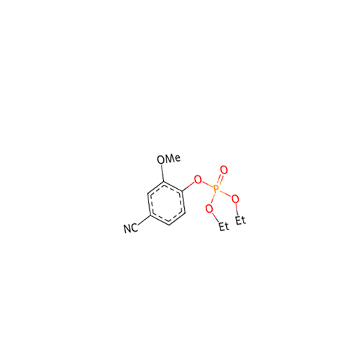 CCOP(=O)(OCC)Oc1ccc(C#N)cc1OC